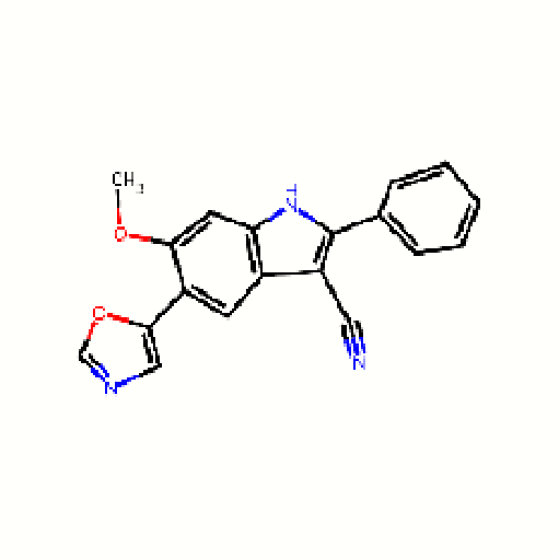 COc1cc2[nH]c(-c3ccccc3)c(C#N)c2cc1-c1cnco1